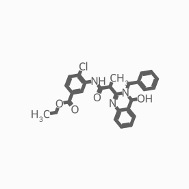 CCOC(=O)c1ccc(Cl)c(NC(=O)C(C)C2=Nc3ccccc3C(O)N2Cc2ccccc2)c1